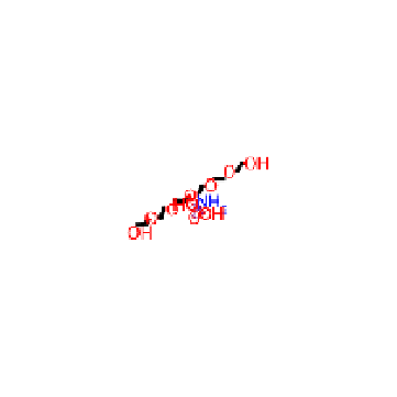 NP(=O)(O)O.OCCOCCOCCOCCOCCOCCO